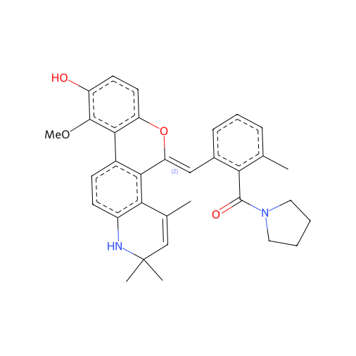 COc1c(O)ccc2c1-c1ccc3c(c1/C(=C/c1cccc(C)c1C(=O)N1CCCC1)O2)C(C)=CC(C)(C)N3